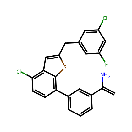 C=C(N)c1cccc(-c2ccc(Cl)c3cc(Cc4cc(F)cc(Cl)c4)sc23)c1